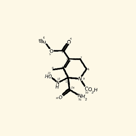 CC1=C(C(=O)OC(C)(C)C)CCN(C(=O)O)C1(NO)C(N)=O